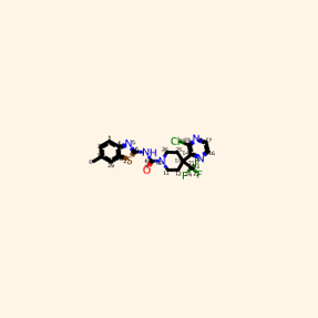 Cc1ccc2nc(NC(=O)N3CCC(c4nccnc4Cl)(C(F)(F)F)CC3)sc2c1